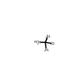 CCC(N)(Cl)CC